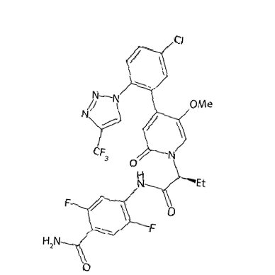 CC[C@@H](C(=O)Nc1cc(F)c(C(N)=O)cc1F)n1cc(OC)c(-c2cc(Cl)ccc2-n2cc(C(F)(F)F)nn2)cc1=O